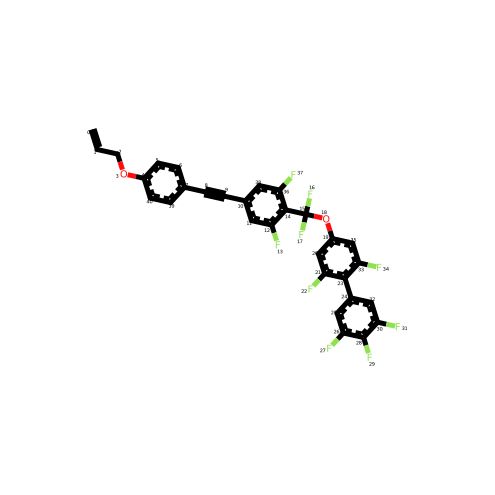 C=CCOc1ccc(C#Cc2cc(F)c(C(F)(F)Oc3cc(F)c(-c4cc(F)c(F)c(F)c4)c(F)c3)c(F)c2)cc1